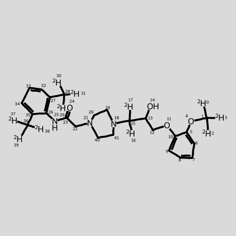 [2H]C([2H])([2H])Oc1ccccc1OCC(O)C([2H])([2H])N1CCN(CC(=O)Nc2c(C([2H])([2H])[2H])cccc2C([2H])([2H])[2H])CC1